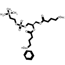 C1=C=CC=CC=1.CCCCCCCCCCCCCC(=O)OC[C@H](COP(=O)([O-])OCC[N+](C)(C)C)OC(=O)CCCCCCCCCCCCC